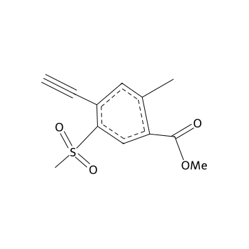 C#Cc1cc(C)c(C(=O)OC)cc1S(C)(=O)=O